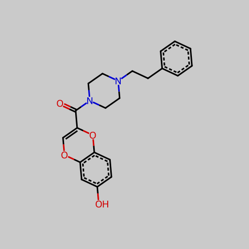 O=C(C1=COc2cc(O)ccc2O1)N1CCN(CCc2ccccc2)CC1